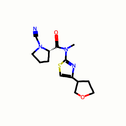 CN(C(=O)[C@@H]1CCCN1C#N)c1nc(C2CCOC2)cs1